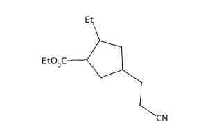 CCOC(=O)C1CC(CCC#N)CC1CC